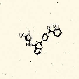 Cc1cc(Nc2nc(N3CCN(C(=O)c4ccccc4O)CC3)nn3cccc23)n[nH]1